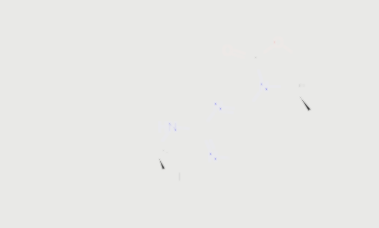 C[C@H](Nc1nccc(N2C(=O)OC[C@H]2c2ccccc2)n1)c1ccc2ccccc2c1